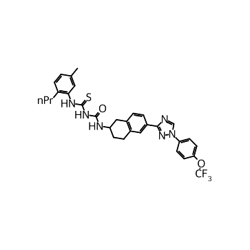 CCCc1ccc(C)cc1NC(=S)NC(=O)NC1CCc2cc(-c3ncn(-c4ccc(OC(F)(F)F)cc4)n3)ccc2C1